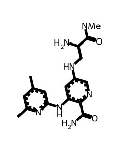 CNC(=O)C(N)CNc1cnc(C(N)=O)c(Nc2cc(C)cc(C)n2)c1